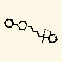 COc1ncccc1C(F)(F)CCCCN1CCN(c2ccccc2)CC1